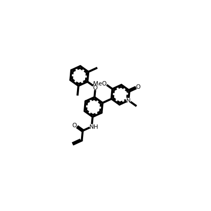 C=CC(=O)Nc1ccc(Oc2c(C)cccc2C)c(-c2cn(C)c(=O)cc2OC)c1